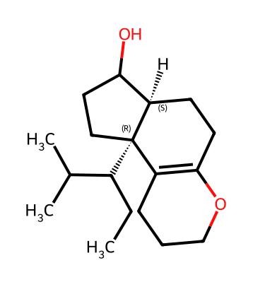 CCC(C(C)C)[C@]12CCC(O)[C@H]1CCC1=C2CCCO1